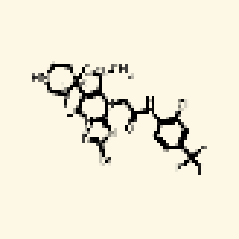 C[C@H]1O[C@]2(CCNC[C@@H]2F)c2c1n(CC(=O)Nc1ccc(C(F)(F)F)cc1Cl)c1nc(Br)nn1c2=O